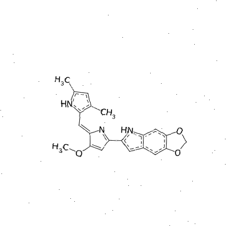 COC1=CC(c2cc3cc4c(cc3[nH]2)OCO4)=NC1=Cc1[nH]c(C)cc1C